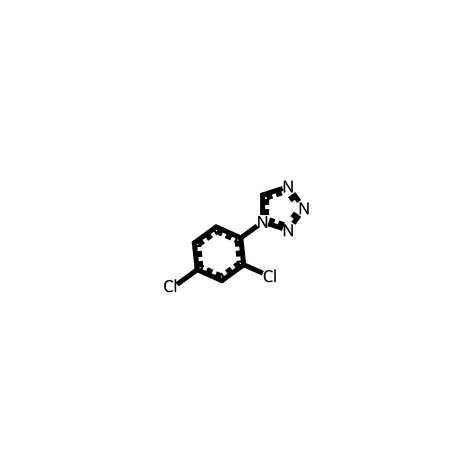 Clc1ccc(-n2cnnn2)c(Cl)c1